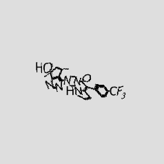 C[C@@H]1C[C@@](C)(O)c2ncnc(N3CCN(C(=O)C(c4ccc(C(F)(F)F)cc4)C4CCCN4)CC3)c21